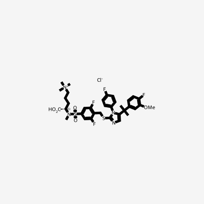 COc1cc(C(C)(C)c2cnc(SCc3c(F)cc(S(=O)(=O)N(C)[C@@H](CCC[N+](C)(C)C)C(=O)O)cc3F)n2-c2ccc(F)cc2)ccc1F.[Cl-]